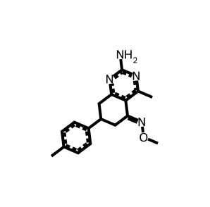 CON=C1CC(c2ccc(C)cc2)Cc2nc(N)nc(C)c21